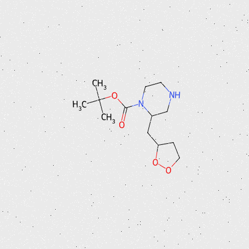 CC(C)(C)OC(=O)N1CCNCC1CC1CCOO1